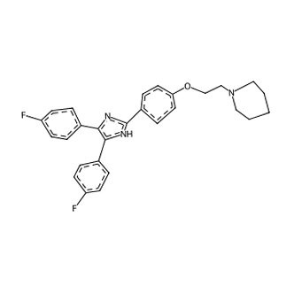 Fc1ccc(-c2nc(-c3ccc(OCCN4CCCCC4)cc3)[nH]c2-c2ccc(F)cc2)cc1